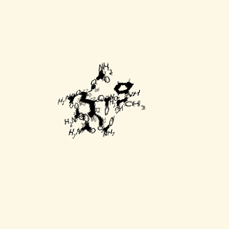 CC(Nc1ccccc1)C(=O)O.NC(=O)OC[C@@H](OC(N)=O)[C@@H](OC(N)=O)[C@H](OC(N)=O)[C@@H](COC(N)=O)OC(N)=O